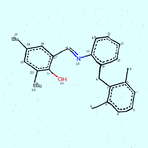 Cc1cccc(C)c1Cc1ccccc1/N=C/c1cc(C(C)(C)C)cc(C(C)(C)C)c1O